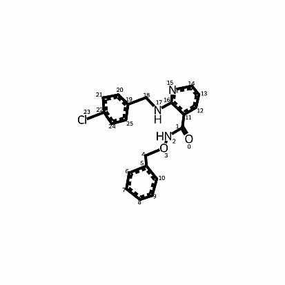 O=C(NOCc1ccccc1)c1cccnc1NCc1ccc(Cl)cc1